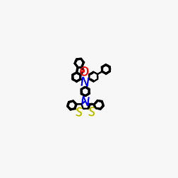 C1=CC(c2ccccc2)CC=C1N(c1ccc(N2c3c(sc4ccccc34)C3Sc4ccccc4C32)cc1)c1cccc2c1oc1ccccc12